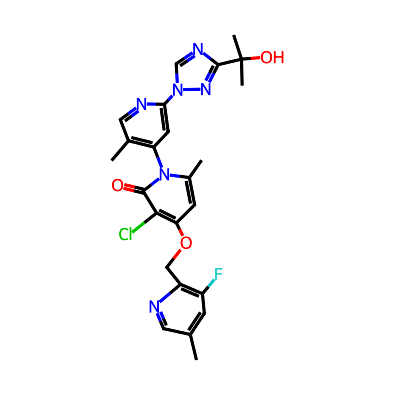 Cc1cnc(COc2cc(C)n(-c3cc(-n4cnc(C(C)(C)O)n4)ncc3C)c(=O)c2Cl)c(F)c1